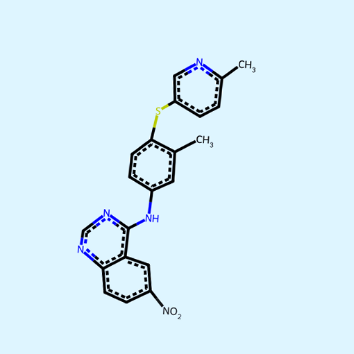 Cc1ccc(Sc2ccc(Nc3ncnc4ccc([N+](=O)[O-])cc34)cc2C)cn1